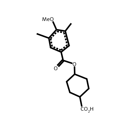 COc1c(C)cc(C(=O)OC2CCC(C(=O)O)CC2)cc1C